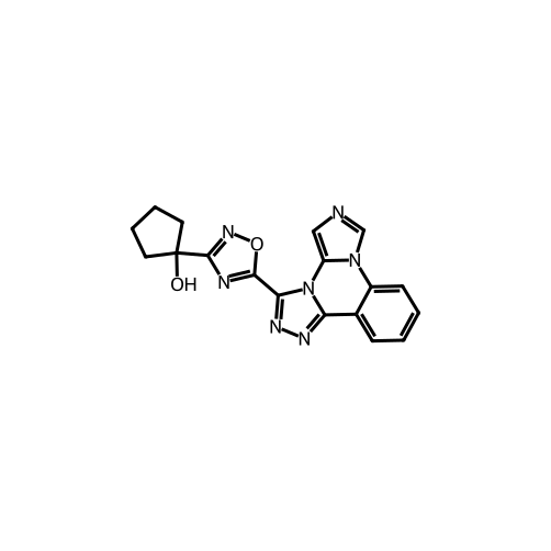 OC1(c2noc(-c3nnc4c5ccccc5n5cncc5n34)n2)CCCC1